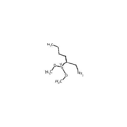 CCCCC(CN)[SiH](OC)OC